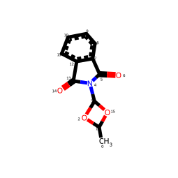 CC1OC(N2C(=O)c3ccccc3C2=O)O1